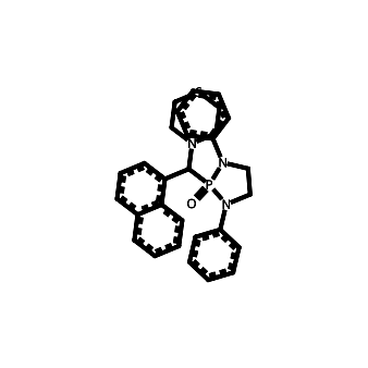 O=P1(C(c2cccc3ccccc23)N2CCSCC2)N(c2ccccc2)CCN1c1ccccc1